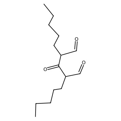 CCCCCC(C=O)C(=O)C(C=O)CCCCC